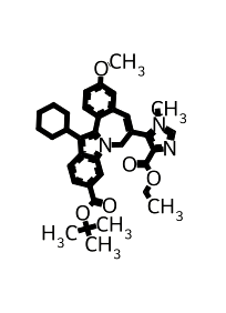 CCOC(=O)c1ncn(C)c1C1=Cc2cc(OC)ccc2-c2c(C3CCCCC3)c3ccc(C(=O)OC(C)(C)C)cc3n2C1